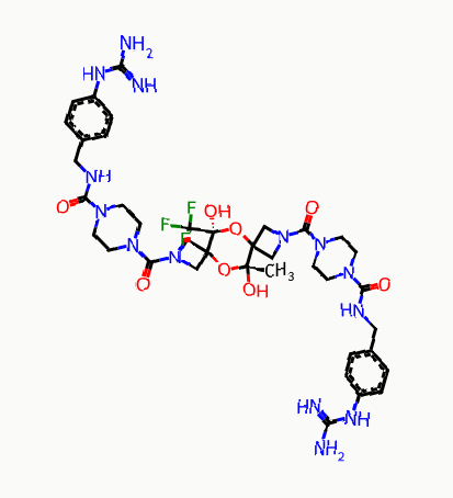 C[C@@]1(O)OC2(CN(C(=O)N3CCN(C(=O)NCc4ccc(NC(=N)N)cc4)CC3)C2)[C@@](O)(C(F)(F)F)OC12CN(C(=O)N1CCN(C(=O)NCc3ccc(NC(=N)N)cc3)CC1)C2